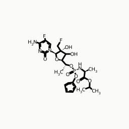 CC(C)OC(=O)[C@H](C)N[P@@](=O)(Oc1ccccc1)O[C@H](C)[C@H]1O[C@@H](n2cc(F)c(N)nc2=O)[C@@](O)(CF)C1O